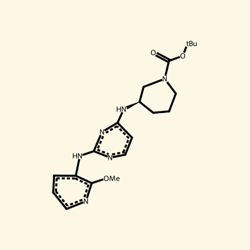 COc1ncccc1Nc1nccc(N[C@@H]2CCCN(C(=O)OC(C)(C)C)C2)n1